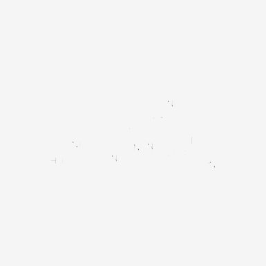 C[C@H](N)CCCNC(=O)c1cc(-c2ccc(C#N)c(F)c2)n(-c2ccc(N3CCCC3)cc2Cl)n1